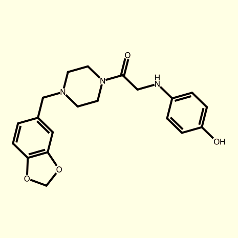 O=C(CNc1ccc(O)cc1)N1CCN(Cc2ccc3c(c2)OCO3)CC1